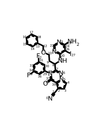 N#Cc1ccn2nc(C(CCOCc3ccccc3)Nc3ncnc(N)c3I)n(-c3cc(F)cc(F)c3)c(=O)c12